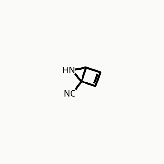 N#CC12C=CC1N2